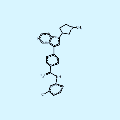 C=C(Nc1cc(Cl)ccn1)c1ccc(-c2cc(C3CCN(C)C3)c3ccncn23)cc1